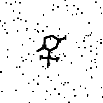 CN1CCN(I)CC1C(F)(F)F